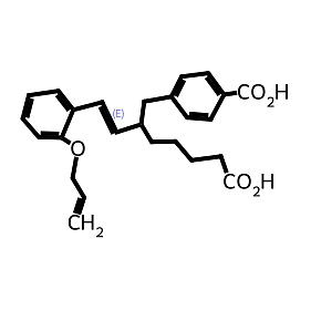 C=CCOc1ccccc1/C=C/C(CCCCC(=O)O)Cc1ccc(C(=O)O)cc1